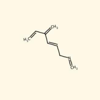 C=CC(=C)C=CCN=C